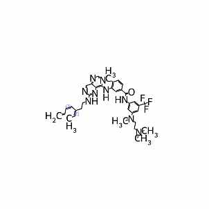 C=C/C=C\C(=C/C)CCNc1ncc2ncnc(Nc3cc(C(=O)Nc4cc(N(C)CCN(C)C)cc(C(F)(F)F)c4)ccc3C)c2n1